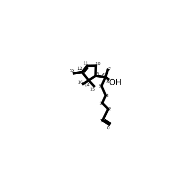 C=CCCCCC(C)(O)C1CC=C(C)C1(C)C